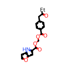 CCC(=O)Cc1ccc(C(=O)OCOC(=O)c2cc3occc3[nH]2)cc1